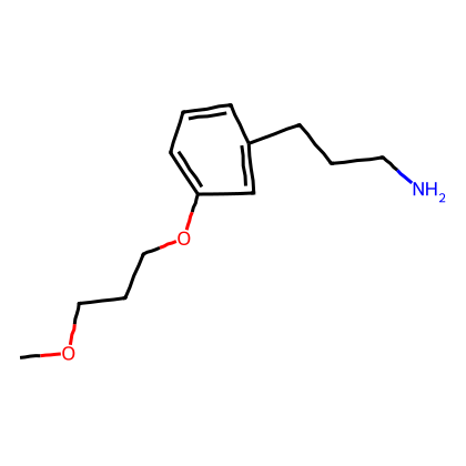 COCCCOc1cccc(CCCN)c1